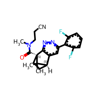 CN(CCC#N)C(=O)[C@]12CC[C@H](c3cc(-c4c(F)cccc4F)nnc31)C2(C)C